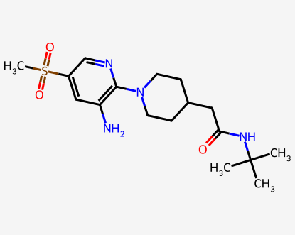 CC(C)(C)NC(=O)CC1CCN(c2ncc(S(C)(=O)=O)cc2N)CC1